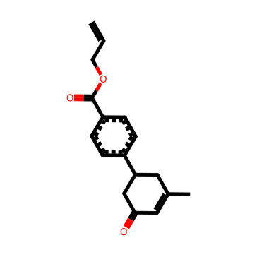 C=CCOC(=O)c1ccc(C2CC(=O)C=C(C)C2)cc1